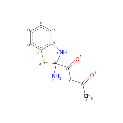 CC(=O)CC(=O)C1(N)Nc2ccccc2S1